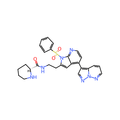 O=C(NCCc1cc2c(-c3cnn4ncccc34)ccnc2n1S(=O)(=O)c1ccccc1)[C@H]1CCCCN1